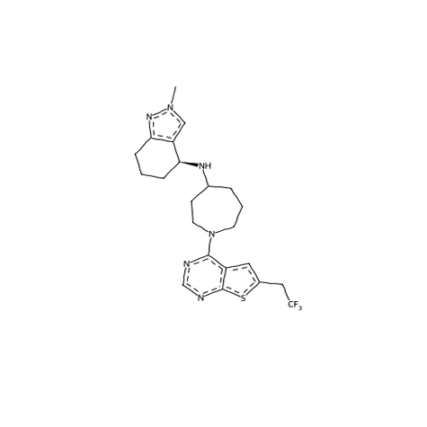 Cn1cc2c(n1)CCC[C@@H]2NC1CCCN(c2ncnc3sc(CC(F)(F)F)cc23)CC1